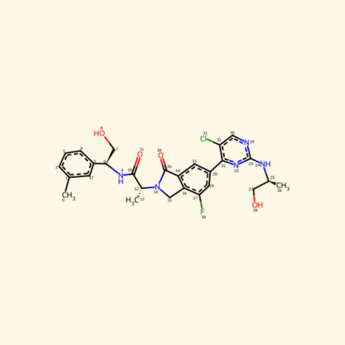 Cc1cccc([C@@H](CO)NC(=O)[C@@H](C)N2Cc3c(F)cc(-c4nc(N[C@@H](C)CO)ncc4Cl)cc3C2=O)c1